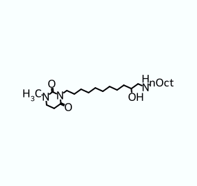 CCCCCCCCNCC(O)CCCCCCCCCN1C(=O)CCN(C)C1=O